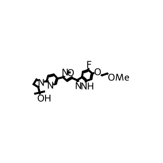 COCCOc1cc2[nH]nc(-c3cc(-c4ccc(N5CCC5C(C)(C)O)nc4)no3)c2cc1F